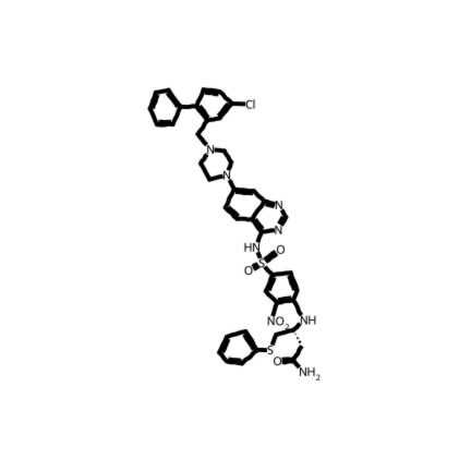 NC(=O)C[C@H](CSc1ccccc1)Nc1ccc(S(=O)(=O)Nc2ncnc3cc(N4CCN(Cc5cc(Cl)ccc5-c5ccccc5)CC4)ccc23)cc1[N+](=O)[O-]